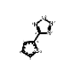 c1csc(C2=N[N]N=N2)c1